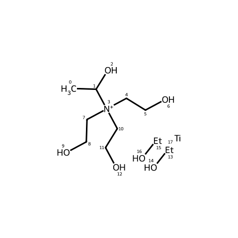 CC(O)[N+](CCO)(CCO)CCO.CCO.CCO.[Ti]